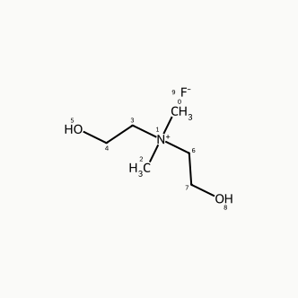 C[N+](C)(CCO)CCO.[F-]